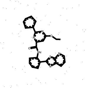 CCOc1cc(C(=O)Nc2ccccc2-c2nc3cccnc3s2)nc(-c2ccccc2)n1